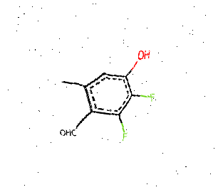 Cc1cc(O)c(F)c(F)c1C=O